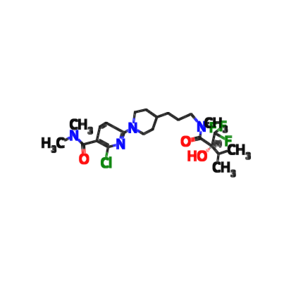 CC(C)[C@@](O)(C(=O)N(C)CCCC1CCN(c2ccc(C(=O)N(C)C)c(Cl)n2)CC1)C(F)(F)F